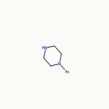 CC(=O)N1[CH]CNCC1